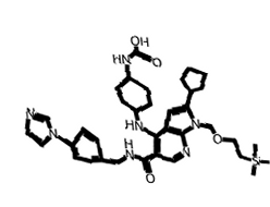 C[Si](C)(C)CCOCn1c(C2CCCC2)cc2c(NC3CCC(NC(=O)O)CC3)c(C(=O)NCc3ccc(-n4ccnc4)cc3)cnc21